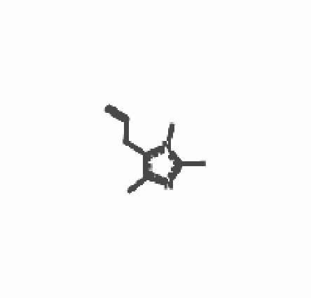 C=CCc1c(C)nc(C)n1C